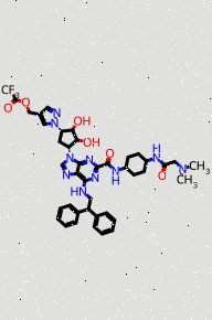 CN(C)CC(=O)NC1CCC(NC(=O)c2nc(NCC(c3ccccc3)c3ccccc3)c3ncn([C@@H]4C[C@H](n5cc(COC(=O)C(F)(F)F)cn5)C(O)C4O)c3n2)CC1